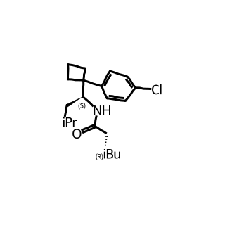 CC[C@@H](C)CC(=O)N[C@@H](CC(C)C)C1(c2ccc(Cl)cc2)CCC1